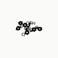 O=C(O)CC(NC(=O)c1cc(Cl)ccc1NCc1ccc(Oc2ccccc2)cc1)c1ccc(-c2ccccc2Oc2ccccc2)cc1